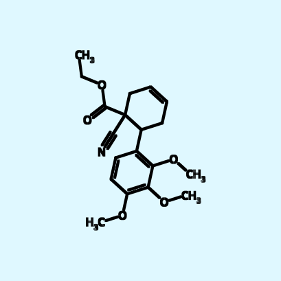 CCOC(=O)C1(C#N)CC=CCC1c1ccc(OC)c(OC)c1OC